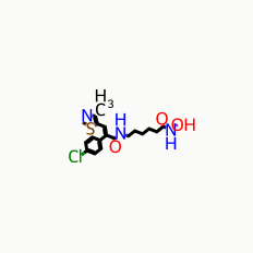 Cc1ncsc1/C=C(/C(=O)NCCCCCC(=O)NO)c1ccc(Cl)cc1